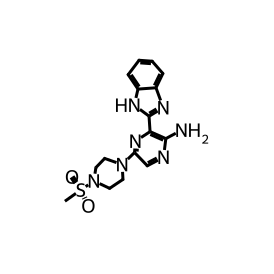 CS(=O)(=O)N1CCN(c2cnc(N)c(-c3nc4ccccc4[nH]3)n2)CC1